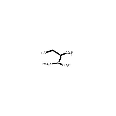 O=C(O)C(CS)N(C(=O)O)C(=O)O